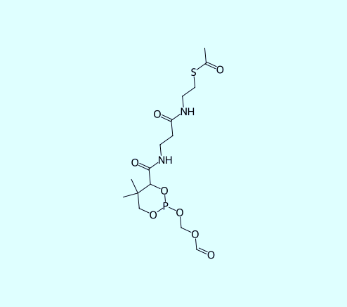 CC(=O)SCCNC(=O)CCNC(=O)C1OP(OCOC=O)OCC1(C)C